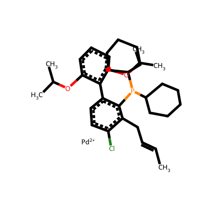 CC=CCc1c(Cl)ccc(-c2c(OC(C)C)cccc2OC(C)C)c1P(C1CCCCC1)C1CCCCC1.[Pd+2]